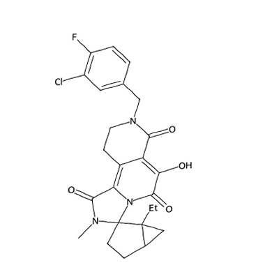 CCC12CC1CCC21N(C)C(=O)c2c3c(c(O)c(=O)n21)C(=O)N(Cc1ccc(F)c(Cl)c1)CC3